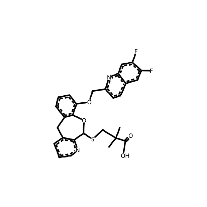 CC(C)(CSC1Oc2c(cccc2OCc2ccc3cc(F)c(F)cc3n2)Cc2cccnc21)C(=O)O